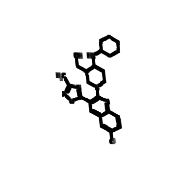 Cc1noc(-c2cc3cc(Cl)ccc3nc2N2CCC(NC3CCCCC3)C(CO)C2)n1